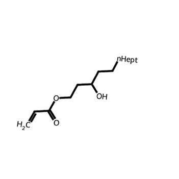 C=CC(=O)OCCC(O)CCCCCCCCC